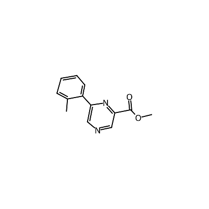 COC(=O)c1cncc(-c2ccccc2C)n1